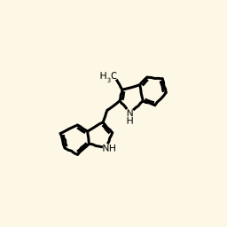 Cc1c(Cc2c[nH]c3ccccc23)[nH]c2ccccc12